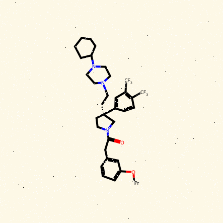 CC(C)Oc1cccc(CC(=O)N2CC[C@@](CCN3CCN(C4CCCCC4)CC3)(c3ccc(C(F)(F)F)c(C(F)(F)F)c3)C2)c1